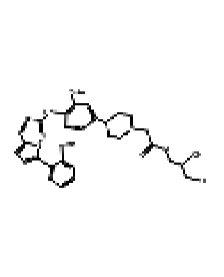 COc1cc(C2CCN(CC(=O)NCC(O)CO)CC2)ccc1Nc1ncc2ccc(-c3ccccc3OC)n2n1